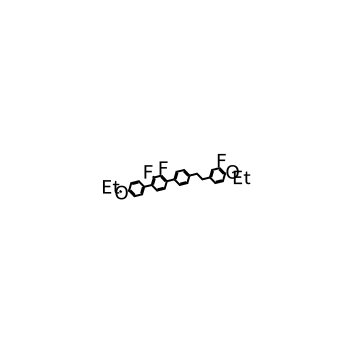 CCOc1ccc(-c2ccc(-c3ccc(CCc4ccc(OCC)c(F)c4)cc3)c(F)c2F)cc1